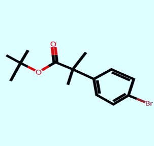 CC(C)(C)OC(=O)C(C)(C)c1ccc(Br)cc1